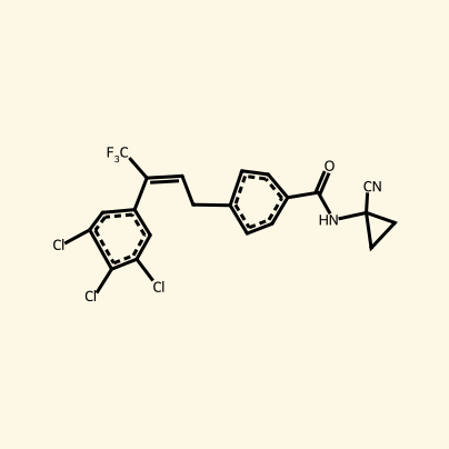 N#CC1(NC(=O)c2ccc(CC=C(c3cc(Cl)c(Cl)c(Cl)c3)C(F)(F)F)cc2)CC1